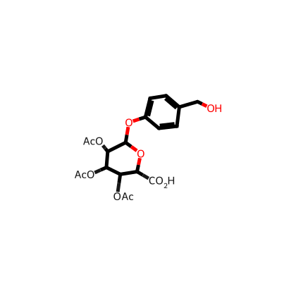 CC(=O)OC1C(Oc2ccc(CO)cc2)OC(C(=O)O)C(OC(C)=O)C1OC(C)=O